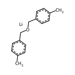 Cc1ccc(COCc2ccc(C)cc2)cc1.[Li]